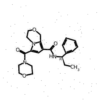 CC[C@@H](NC(=O)c1cc(C(=O)N2CCOCC2)n2c1COCC2)c1ccccc1